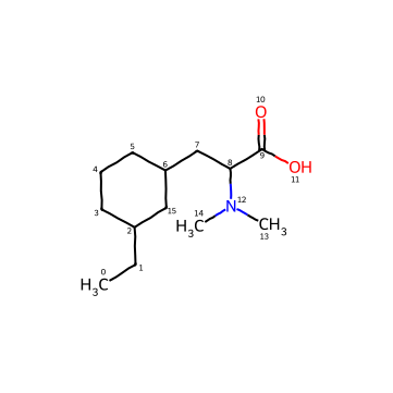 CCC1CCCC(CC(C(=O)O)N(C)C)C1